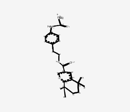 CCCCC(=O)Nc1ccc(CCOC(=O)c2ccc3c(c2)C(C)(C)CCC3(C)C)cc1